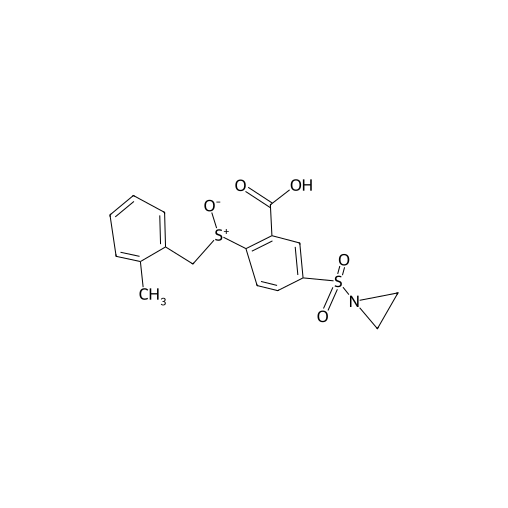 Cc1ccccc1C[S+]([O-])c1ccc(S(=O)(=O)N2CC2)cc1C(=O)O